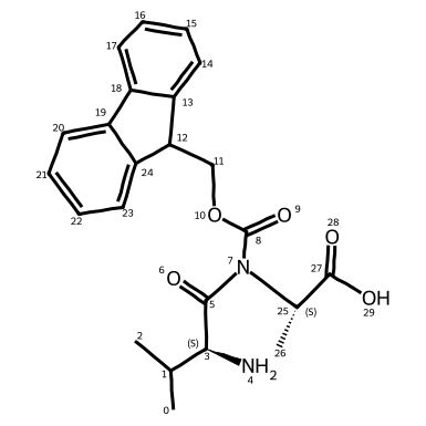 CC(C)[C@H](N)C(=O)N(C(=O)OCC1c2ccccc2-c2ccccc21)[C@@H](C)C(=O)O